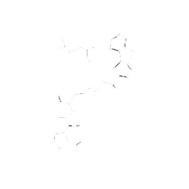 CC(C)NCC(O)COc1cccc2[nH]c3ccc(C(=O)NCCCCC(NC(C)C(=O)N4CCC[C@H]4C(=O)O)C(=O)O)cc3c12